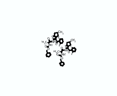 CC1Cc2sc(NC(=O)[C@H](C)NC(=O)OCc3ccccc3)c(C(=O)c3c(F)cccc3F)c2C1.C[C@H]1Cc2sc(NC(=O)[C@H](C)NC(=O)OCc3ccccc3)c(C(=O)c3c(F)cccc3F)c2C1